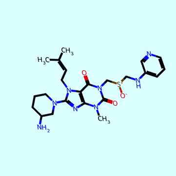 CC(C)=CCn1c(N2CCCC(N)C2)nc2c1c(=O)n(C[S+]([O-])CNc1cccnc1)c(=O)n2C